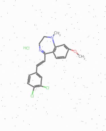 COc1ccc2c(c1)N(C)CCN=C2C=Cc1ccc(Cl)c(Cl)c1.Cl